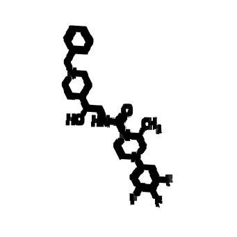 C[C@@H]1CN(c2cc(F)c(F)c(F)c2)CCN1C(=O)NC[C@@H](O)C1CCN(Cc2ccccc2)CC1